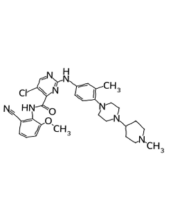 COc1cccc(C#N)c1NC(=O)c1nc(Nc2ccc(N3CCN(C4CCN(C)CC4)CC3)c(C)c2)ncc1Cl